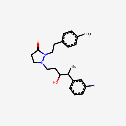 CCCCC(c1cccc(I)c1)C(O)CCN1CCC(=O)N1CCc1ccc(C(=O)O)cc1